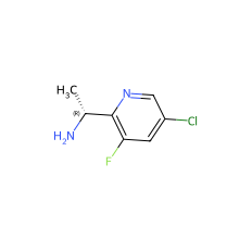 C[C@@H](N)c1ncc(Cl)cc1F